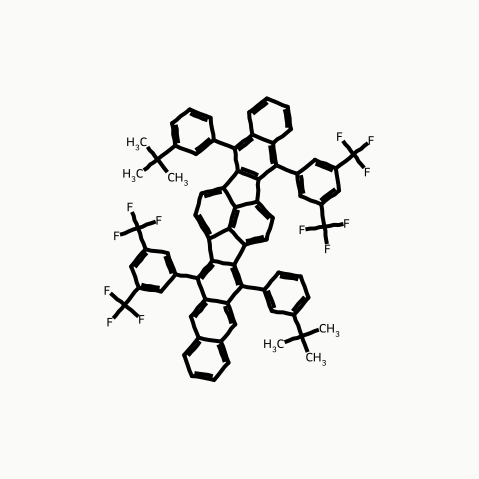 CC(C)(C)c1cccc(-c2c3c(c(-c4cc(C(F)(F)F)cc(C(F)(F)F)c4)c4ccccc24)-c2ccc4c5c(ccc-3c25)-c2c-4c(-c3cccc(C(C)(C)C)c3)c3cc4ccccc4cc3c2-c2cc(C(F)(F)F)cc(C(F)(F)F)c2)c1